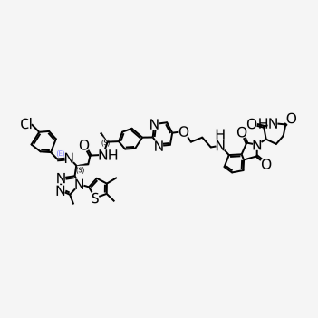 Cc1cc(-n2c(C)nnc2[C@H](CC(=O)N[C@@H](C)c2ccc(-c3ncc(OCCCNc4cccc5c4C(=O)N(C4CCC(=O)NC4=O)C5=O)cn3)cc2)/N=C/c2ccc(Cl)cc2)sc1C